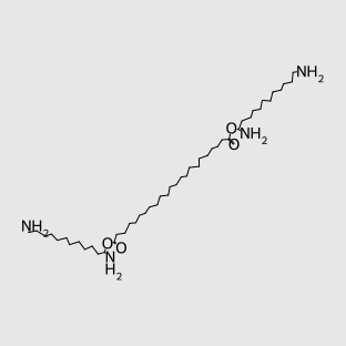 NCCCCCCCCCCCC(N)OC(=O)CCCCCCCCCCCCCCCCCCCCCC(=O)OC(N)CCCCCCCCCCCN